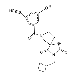 C#Cc1cc(C#N)cc(C(=O)N2CCC3(C2)NC(=O)N(CC2CCC2)C3=O)c1